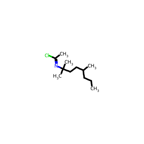 CCCC(C)CCC(C)(C)/N=C(\C)Cl